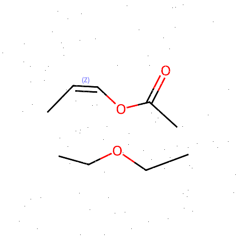 C/C=C\OC(C)=O.CCOCC